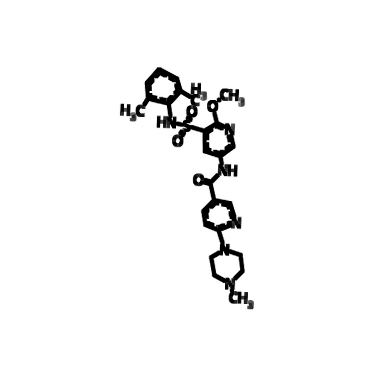 COc1ncc(NC(=O)c2ccc(N3CCN(C)CC3)nc2)cc1S(=O)(=O)Nc1c(C)cccc1C